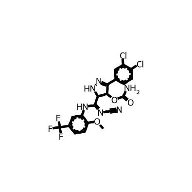 COc1ccc(C(F)(F)F)cc1NC(=NC#N)C1NN=C(c2ccc(Cl)c(Cl)c2)C1OC(N)=O